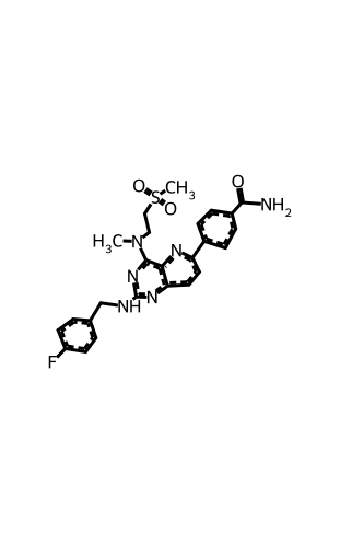 CN(CCS(C)(=O)=O)c1nc(NCc2ccc(F)cc2)nc2ccc(-c3ccc(C(N)=O)cc3)nc12